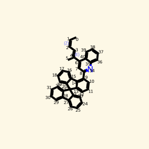 C/C=C\C=C(/C)c1cc(-c2cccc3c2-c2ccccc2C32c3ccccc3-c3ccccc32)nc2ccccc12